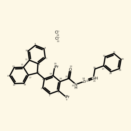 CC(C)c1ccc(C2c3ccccc3-c3ccccc32)c(C(C)C)c1C(=O)[NH]/[Zr+2]=[SiH]/Cc1ccccc1.[Cl-].[Cl-]